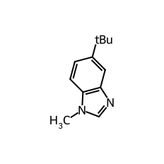 Cn1cnc2cc(C(C)(C)C)ccc21